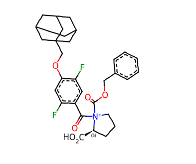 O=C(O)[C@@H]1CCC[N+]1(C(=O)OCc1ccccc1)C(=O)c1cc(F)c(OCC23CC4CC(CC(C4)C2)C3)cc1F